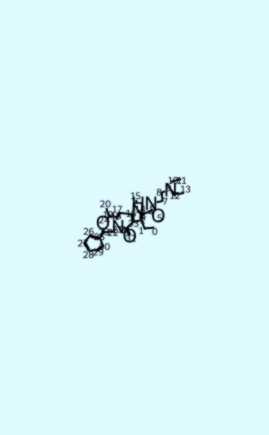 CCc1c(C(=O)NCCN(CC)CC)n(C)c2cc(CC)n(CC(=O)c3ccccc3)c(=O)c12